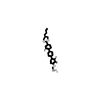 BCOc1ccc(-c2ccc(-c3ccc(C4OCC(CCC=C)CO4)cc3F)cc2)c(F)c1F